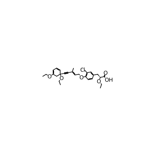 CCOC1=CC=CC(C#C/C(C)=C/COc2ccc(C[C@H](OCC)C(=O)O)cc2Cl)(OCC)C1